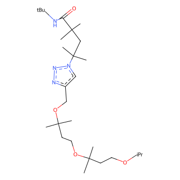 CC(C)OCCC(C)(C)OCCC(C)(C)OCc1cn(C(C)(C)CC(C)(C)C(=O)NC(C)(C)C)nn1